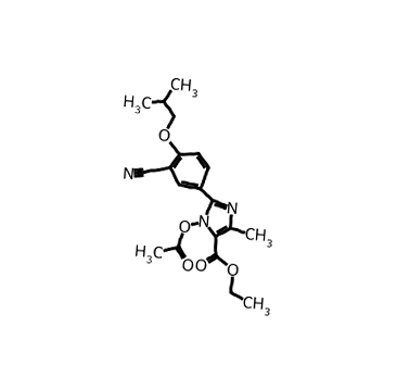 CCOC(=O)c1c(C)nc(-c2ccc(OCC(C)C)c(C#N)c2)n1OC(C)=O